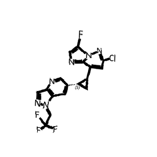 Fc1cnc2c(C3C[C@@H]3c3cnc4cnn(CC(F)(F)F)c4c3)cc(Cl)nn12